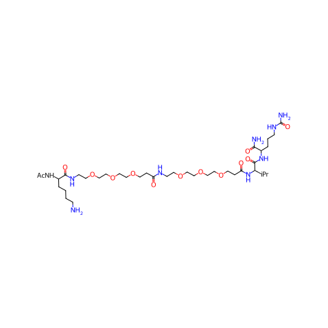 CC(=O)NC(CCCCN)C(=O)NCCOCCOCCOCCC(=O)NCCOCCOCCOCCC(=O)NC(C(=O)NC(CCCNC(N)=O)C(N)=O)C(C)C